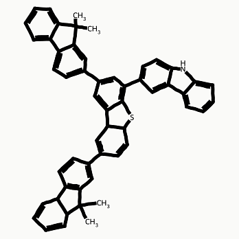 CC1(C)c2ccccc2-c2ccc(-c3cc(-c4ccc5[nH]c6ccccc6c5c4)c4c(c3)C3C=C(c5ccc6c(c5)C(C)(C)C5C=CC=CC65)C=CC3S4)cc21